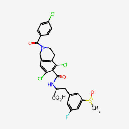 C[S+]([O-])c1cc(F)cc(C[C@H](NC(=O)c2c(Cl)cc3c(c2Cl)CCN(C(=O)c2ccc(Cl)cc2)C3)C(=O)O)c1